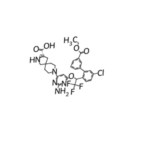 CCOC(=O)c1cccc(-c2cc(Cl)ccc2C(Oc2cc(N3CCC4(CC3)CN[C@H](C(=O)O)C4)nc(N)n2)C(F)(F)F)c1